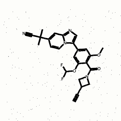 C#CC1CN(C(=O)c2c(OC)cc(-c3cnc4cc(C(C)(C)C#N)ccn34)cc2OC(F)F)C1